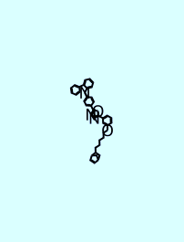 C1=CC2CC1CC2CCCCCOc1cccc(-c2nnc(-c3ccc(-n4c5ccccc5c5ccccc54)cc3)o2)c1